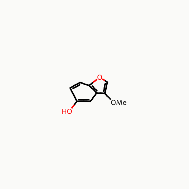 COc1coc2ccc(O)cc12